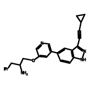 CC(C)CC(N)COc1cncc(-c2ccc3[nH]nc(C#CC4CC4)c3c2)c1